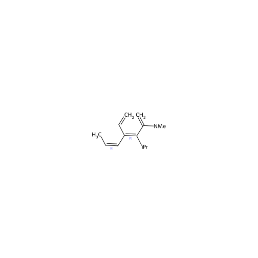 C=CC(/C=C\C)=C(\C(=C)NC)C(C)C